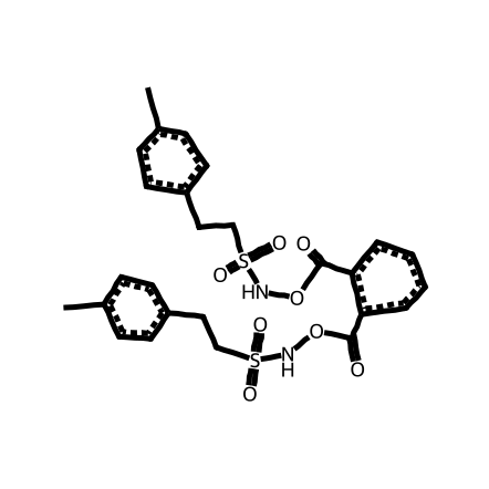 Cc1ccc(CCS(=O)(=O)NOC(=O)c2ccccc2C(=O)ONS(=O)(=O)CCc2ccc(C)cc2)cc1